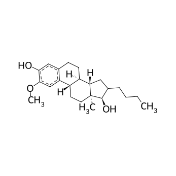 CCCCC1C[C@H]2[C@@H]3CCc4cc(O)c(OC)cc4[C@H]3CC[C@]2(C)[C@@H]1O